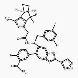 NC(=O)c1cc(-c2cc3sc(-c4cn[nH]c4)nc3nc2[C@H](Cc2cc(F)cc(F)c2)NC(=O)Cn2nc(C(F)(F)F)c3c2C(F)(F)[C@@H]2CC[C@H]32)ccc1F